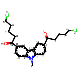 Cn1c2ccc(C(=O)CCCCCl)cc2c2cc(C(=O)CCCCCl)ccc21